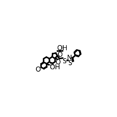 CC(C)(O)O[C@]1(C(=O)CSc2nc(-c3ccccc3)cs2)CCC2C3CCC4=CC(=O)C=CC4(C)C3[C@@H](O)CC21C